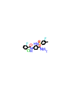 Cc1ccc(S(=O)(=O)Nc2cc(NC(=O)c3c(F)cccc3Cl)ccc2CN)cc1F